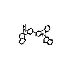 c1ccc2cc(-n3c4ccccc4c4cc(-c5ccc6[nH]c7ccc8ccccc8c7c6c5)ccc43)ccc2c1